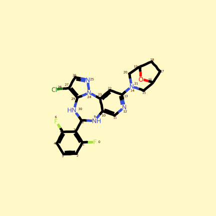 Fc1cccc(F)c1C1Nc2cnc(N3CC4CCC(C3)O4)cc2-n2ncc(Cl)c2N1